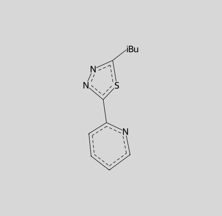 CCC(C)c1nnc(-c2ccccn2)s1